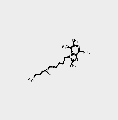 CCCC[S+]([O-])CCCCCn1c(C)nc2c(N)nc(C)c(C)c21